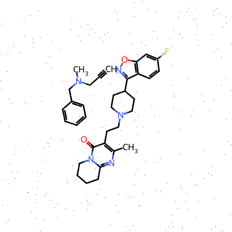 C#CCN(C)Cc1ccccc1.Cc1nc2n(c(=O)c1CCN1CCC(c3noc4cc(F)ccc34)CC1)CCCC2